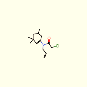 C=CCN(C(=O)CCl)C1=CC(C)(C)CC(C)C1